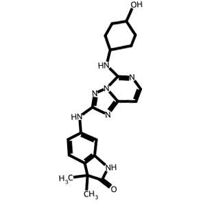 CC1(C)C(=O)Nc2cc(Nc3nc4ccnc(NC5CCC(O)CC5)n4n3)ccc21